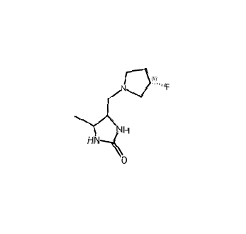 CC1NC(=O)NC1CN1CC[C@H](F)C1